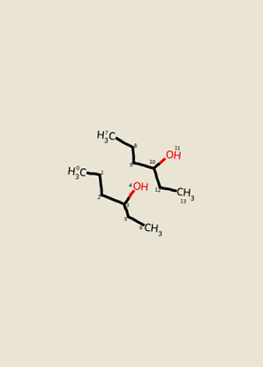 CCCC(O)CC.CCCC(O)CC